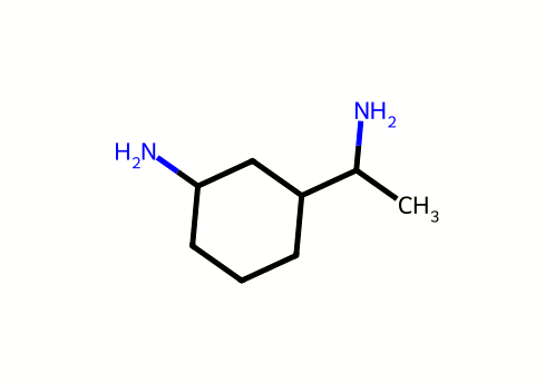 CC(N)C1CCCC(N)C1